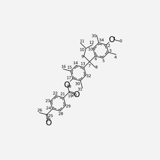 COc1c(C)cc(C(C)(CC(C)C)c2cc(C)c(OC(=O)c3ccc(C(C)=O)cc3)c(C)c2)cc1C